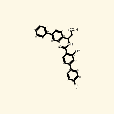 O=C(O)CC(NC(=O)c1ccc(-c2ccc(C(F)(F)F)cc2)cc1Cl)c1ccc(-c2ccccc2)cc1